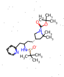 CC(C)(C)OC(=O)N1C[C@@H](CCC(Cc2ccccn2)N[S+]([O-])C(C)(C)C)CC1(C)C